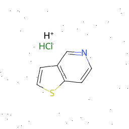 Cl.[H+].c1cc2sccc2cn1